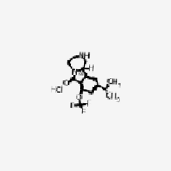 CC(C)c1cc(OC(F)(F)F)c2c(c1)[C@H]1CNCCN1C2=O.Cl